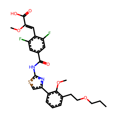 CCCOCCc1cccc(-c2csc(NC(=O)c3cc(F)c(/C=C(\OC)C(=O)O)c(F)c3)n2)c1OC